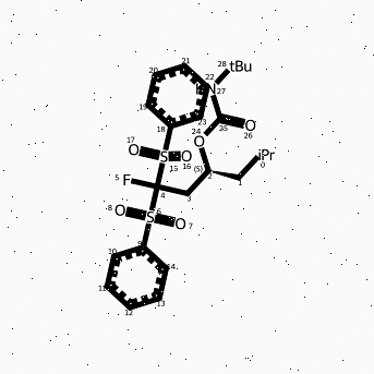 CC(C)C[C@@H](CC(F)(S(=O)(=O)c1ccccc1)S(=O)(=O)c1ccccc1)OC(=O)NC(C)(C)C